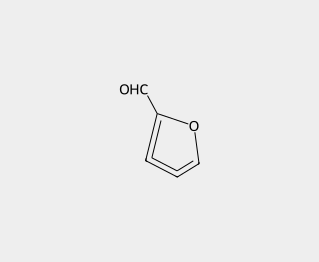 O=CC1=C=C=CO1